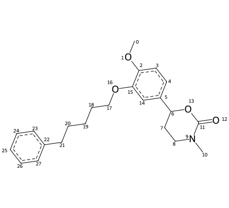 COc1ccc(C2CCN(C)C(=O)O2)cc1OCCCCCc1ccccc1